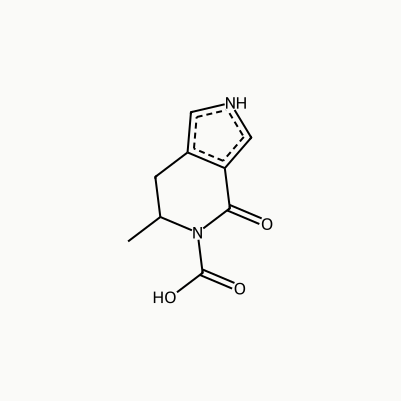 CC1Cc2c[nH]cc2C(=O)N1C(=O)O